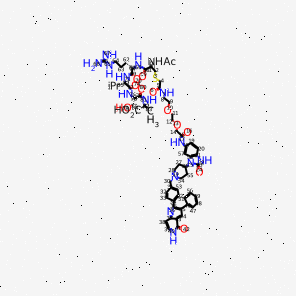 CC(=O)N[C@@H](CSCC(=O)NCCOCCOCC(=O)Nc1ccc2[nH]c(=O)n(C3CCN(Cc4ccc(-c5nc6cc[nH]c(=O)c6cc5-c5ccccc5)cc4)CC3)c2c1)C(=O)N[C@@H](CCCNC(=N)N)C(=O)N[C@H](C(=O)N[C@@H](CO)C(=O)N[C@@H](C)C(=O)O)C(C)C